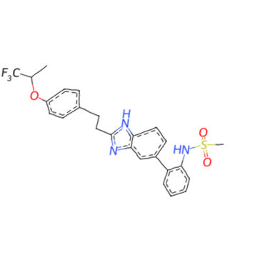 CC(Oc1ccc(CCc2nc3cc(-c4ccccc4NS(C)(=O)=O)ccc3[nH]2)cc1)C(F)(F)F